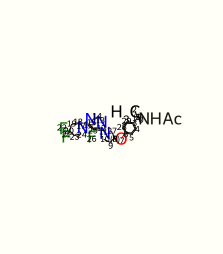 CC(=O)N[C@@H](C)c1ccc(O[C@@H]2CCN(c3ncnc(N4CCC(F)(F)CC4)c3F)C2)cc1